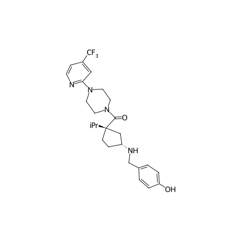 CC(C)[C@]1(C(=O)N2CCN(c3cc(C(F)(F)F)ccn3)CC2)CC[C@@H](NCc2ccc(O)cc2)C1